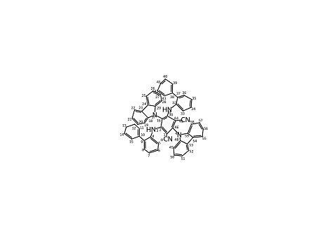 N#Cc1c(Nc2ccccc2C2=CCCC=C2)c(-n2c3ccccc3c3ccccc32)c(Nc2ccccc2-c2ccccc2)c(C#N)c1-n1c2ccccc2c2ccccc21